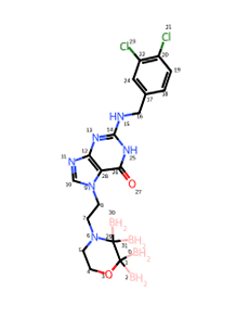 BC1(B)OCCN(CCn2cnc3nc(NCc4ccc(Cl)c(Cl)c4)[nH]c(=O)c32)C1(B)B